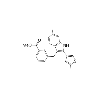 COC(=O)c1cccc(Cc2c(-c3csc(C)c3)[nH]c3cc(C)ccc23)n1